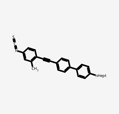 CCCCCCCc1ccc(-c2ccc(C#Cc3ccc(N=C=S)cc3C)cc2)cc1